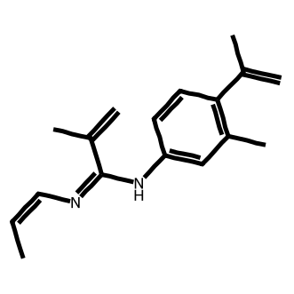 C=C(C)/C(=N\C=C/C)Nc1ccc(C(=C)C)c(C)c1